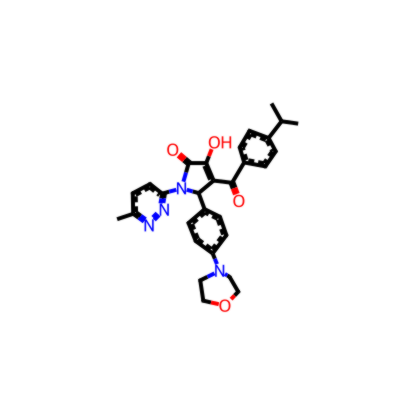 Cc1ccc(N2C(=O)C(O)=C(C(=O)c3ccc(C(C)C)cc3)C2c2ccc(N3CCOCC3)cc2)nn1